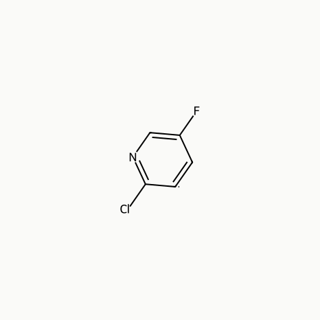 Fc1c[c]c(Cl)nc1